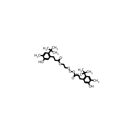 Cc1cc(C(C)(C)C)c(CCC(=O)OCCOOOC(=O)CCc2cc(O)c(C)cc2C(C)(C)C)cc1O